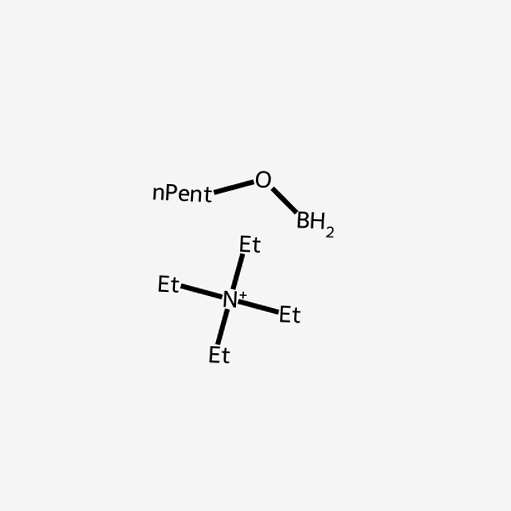 BOCCCCC.CC[N+](CC)(CC)CC